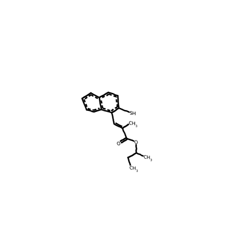 CCC(C)OC(=O)C(C)=Cc1c(S)ccc2ccccc12